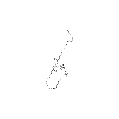 CCCCC/C=C\C/C=C\C/C=C\CCCCCCC(=O)O[C@H](COC(=O)CCCCCCCCC/C=C\C/C=C\CCCCC)COP(=O)([O-])OCC[N+](C)(C)C